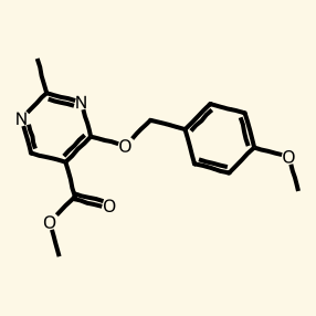 COC(=O)c1cnc(C)nc1OCc1ccc(OC)cc1